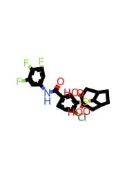 O=C(Nc1cc(F)c(F)c(F)c1)c1ccc(Cl)c(S(=O)(=O)C2C3CCC2CC(O)C(O)C3)c1